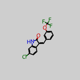 O=C1Nc2cc(Cl)ccc2C1=Cc1cccc(OC(F)(F)F)c1